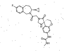 CNC(=O)Nc1ccc2c(c1)OCC[C@@]21NCN(CC(=O)N2Cc3ccc(F)cc3CC[C@H]2C2CC2)C1=O